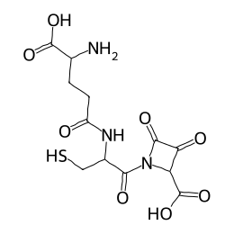 NC(CCC(=O)NC(CS)C(=O)N1C(=O)C(=O)C1C(=O)O)C(=O)O